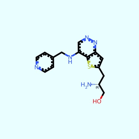 N[C@@H](CO)Cc1cc2nncc(NCc3ccncc3)c2s1